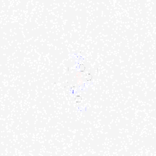 CNc1ncc2cc(-c3cc(NC(=O)Nc4cc(C(C)(C)C)nn4-c4ccc5c(c4)CCNC5)ccc3C)c(=O)n(C)c2n1